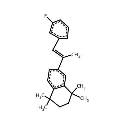 C/C(=C\c1cccc(F)c1)c1ccc2c(c1)C(C)(C)CCC2(C)C